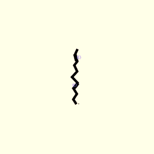 [CH2]CC/C=C/CCC/C=C/C